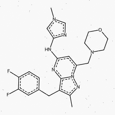 Cc1nn2c(CN3CCOCC3)cc(Nc3cn(C)cn3)nc2c1Cc1ccc(F)c(F)c1